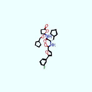 O=C1CCC(NC(=O)[C@H](CC2CCCC2)NC(=O)c2ccc(-c3cccc(F)c3)o2)(OCC2CCCC2)O1